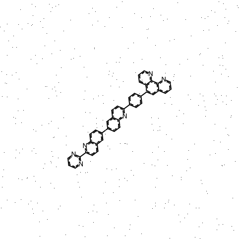 c1cnc(-c2ccc3cc(-c4ccc5nc(-c6ccc(-c7cc8cccnc8c8ncccc78)cc6)ccc5c4)ccc3n2)nc1